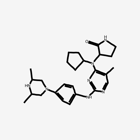 Cc1cnc(Nc2ccc(N3CC(C)NC(C)C3)cc2)nc1N(C1CCCC1)C1CCNC1=O